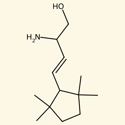 CC1(C)CCC(C)(C)C1C=CC(N)CO